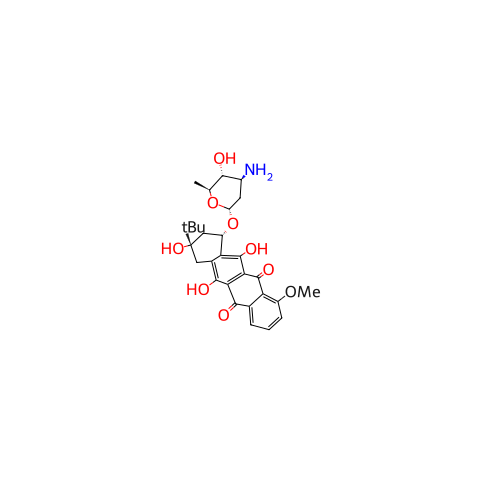 COc1cccc2c1C(=O)c1c(O)c3c(c(O)c1C2=O)C[C@@](O)(C(C)(C)C)C[C@@H]3O[C@H]1C[C@H](N)[C@@H](O)[C@H](C)O1